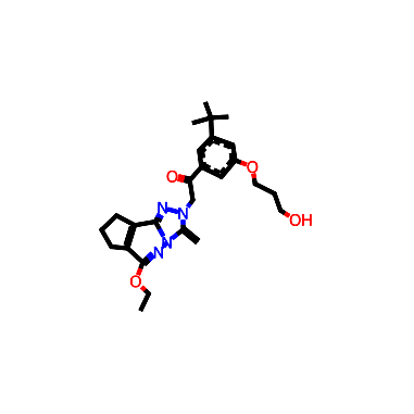 C=C1N(CC(=O)c2cc(OCCCO)cc(C(C)(C)C)c2)N=C2C3=C(CCC3)C(OCC)=NN12